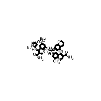 CCn1nccc1Nc1c(C(N)=O)cnc2c(C)cc(S(=O)(=O)C(C)(C)C)cc12.Cc1cc(S(C)(=O)=O)cc2c(Nc3cccc4c3CCCO4)c(C(N)=O)cnc12